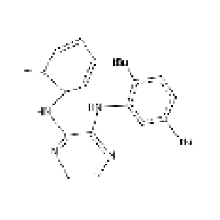 C/N=C(NC1C=CC=CC1C)\C(=N/C(C)C)Nc1cc(C(C)(C)C)ccc1C(C)(C)C